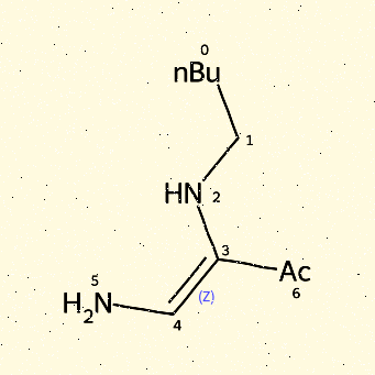 CCCCCN/C(=C\N)C(C)=O